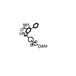 COCCS(=O)(=O)N1CCC(c2c[nH]c3c(C(N)=O)cc(-c4ccccc4)cc23)CC1